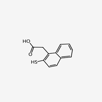 O=C(O)Cc1c(S)ccc2ccccc12